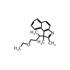 CCOCCC(C)C1(C)C(C)=Nc2ccc3ccccc3c21